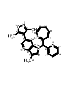 Cc1noc(C)c1-c1cnc2c(C)cn(C(C3=NC=CCC=C3)c3ccccn3)c2c1